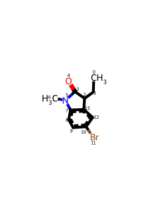 CCC1C(=O)N(C)c2ccc(Br)cc21